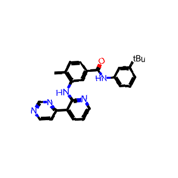 Cc1ccc(C(=O)Nc2cccc(C(C)(C)C)c2)cc1Nc1ncccc1-c1ccncn1